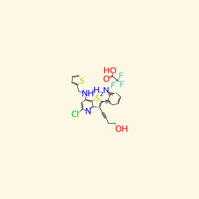 N[C@@H]1CC=CC[C@H]1c1sc2c(NCc3cccs3)cc(Cl)nc2c1C#CCCO.O=C(O)C(F)(F)F